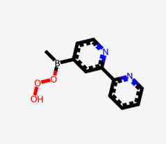 CB(OOO)c1ccnc(-c2ccccn2)c1